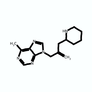 C=C(CC1CCCCN1)Cn1cnc2c(C)ncnc21